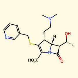 C[C@@H](O)[C@H]1C(=O)N2C(C(=O)O)=C(SCc3cccnc3)[C@H](CCN(C)C)[C@H]12